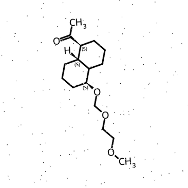 COCCOCO[C@H]1CCC[C@H]2C1CCC[C@@H]2C(C)=O